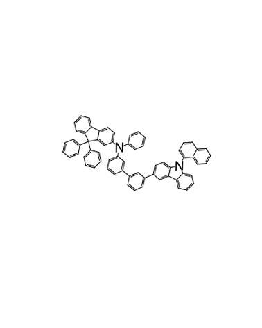 c1ccc(N(c2cccc(-c3cccc(-c4ccc5c(c4)c4ccccc4n5-c4cccc5ccccc45)c3)c2)c2ccc3c(c2)C(c2ccccc2)(c2ccccc2)c2ccccc2-3)cc1